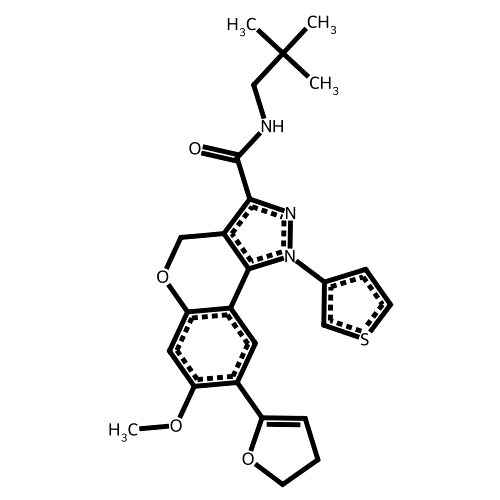 COc1cc2c(cc1C1=CCCO1)-c1c(c(C(=O)NCC(C)(C)C)nn1-c1ccsc1)CO2